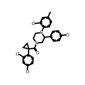 Cc1ccc(N2CCN(C(=O)C3(c4ccc(Cl)cc4Cl)CC3)CC2c2ccc(Cl)cc2)c(Cl)c1